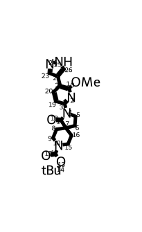 COc1nc(N2CCC3(CCN(C(=O)OC(C)(C)C)CC3)C2=O)ccc1-c1cn[nH]c1